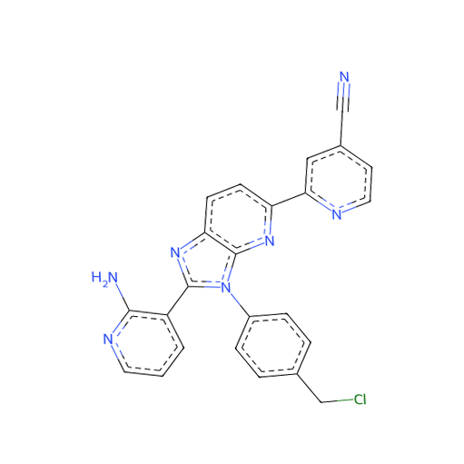 N#Cc1ccnc(-c2ccc3nc(-c4cccnc4N)n(-c4ccc(CCl)cc4)c3n2)c1